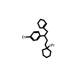 CCCC1(CCC(CC2=CCCCC2)c2ccc(CC)cc2)CCCCC1